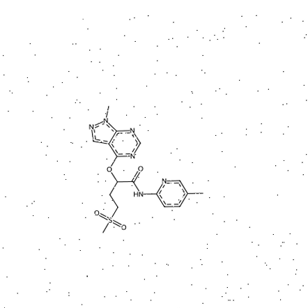 Cc1ccc(NC(=O)C(CCS(C)(=O)=O)Oc2ncnc3c2cnn3C)nc1